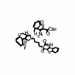 COc1cccc2c1[C@@H]1CN(CCCCn3c(=O)[nH]c4c(sc5ccccc54)c3=O)C[C@@H]1CO2.Cc1cccc2sc(C(=O)O)c(N)c12.Cl